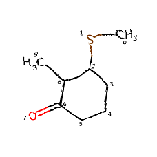 CSC1CCCC(=O)C1C